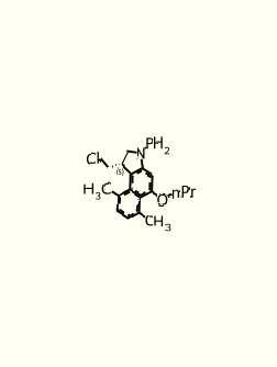 CCCOc1cc2c(c3c(C)ccc(C)c13)[C@H](CCl)CN2P